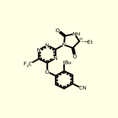 CC[C@H]1NC(=O)N(c2nnc(C(F)(F)F)c(Oc3ccc(C#N)cc3C(C)(C)C)n2)C1=O